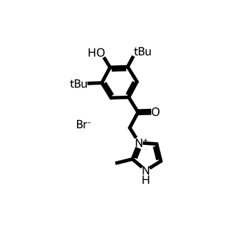 Cc1[nH]cc[n+]1CC(=O)c1cc(C(C)(C)C)c(O)c(C(C)(C)C)c1.[Br-]